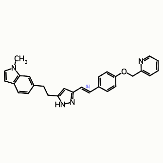 Cn1ccc2ccc(CCc3cc(/C=C/c4ccc(OCc5ccccn5)cc4)n[nH]3)cc21